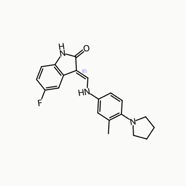 Cc1cc(N/C=C2/C(=O)Nc3ccc(F)cc32)ccc1N1CCCC1